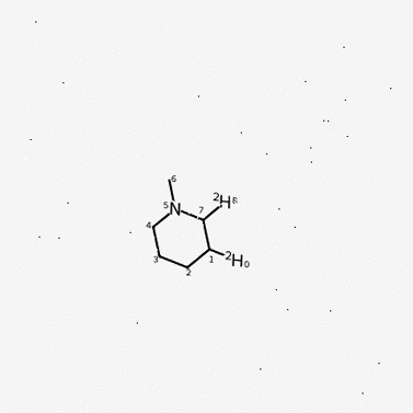 [2H]C1CCCN(C)C1[2H]